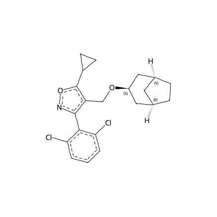 Clc1cccc(Cl)c1-c1noc(C2CC2)c1CO[C@@H]1C[C@@H]2CC[C@@H](C2)C1